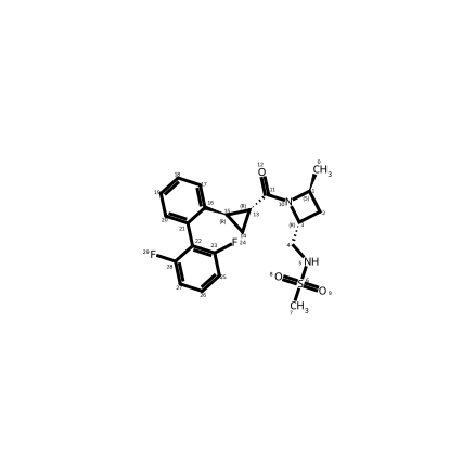 C[C@H]1C[C@H](CNS(C)(=O)=O)N1C(=O)[C@@H]1C[C@H]1c1ccccc1-c1c(F)cccc1F